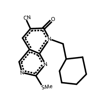 CSc1ncc2cc(C#N)c(=O)n(CC3CCCCC3)c2n1